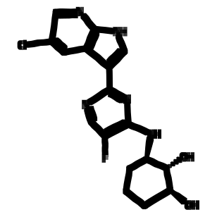 O[C@@H]1[C@@H](O)CCC[C@H]1Nc1nc(-c2c[nH]c3ncc(Cl)cc23)ncc1F